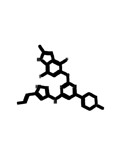 C/C=C/c1cc(Nc2cc(C3=CCN(C)CC3)nc(Oc3cc(F)c4[nH]c(C)cc4c3F)n2)n[nH]1